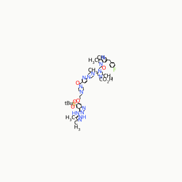 Cc1n[nH]c(Nc2ncnc3cc(OCCCN4CCN(C(=O)c5ccc(N6CCN(C[C@H]7CN(C(=O)O)[C@H](C)CN7CC(=O)N7CC(C)(C)c8ncc(Cc9ccc(F)cc9)cc87)[C@H](C)C6)nc5)CC4)c(S(=O)(=O)C(C)(C)C)cc23)c1C